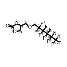 O=C1OCC(COCC(F)(F)C(F)(F)C(F)(F)C(F)(F)C(F)(F)F)O1